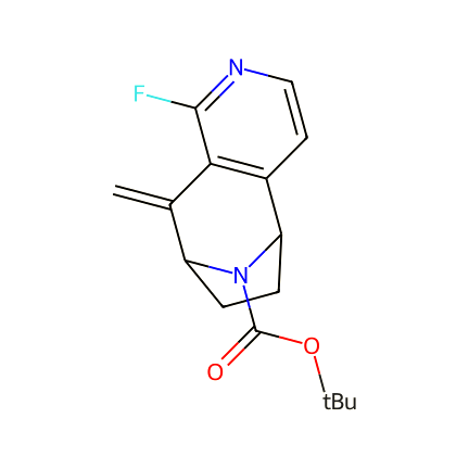 C=C1c2c(ccnc2F)C2CCC1N2C(=O)OC(C)(C)C